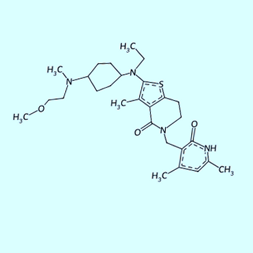 CCN(c1sc2c(c1C)C(=O)N(Cc1c(C)cc(C)[nH]c1=O)CC2)C1CCC(N(C)CCOC)CC1